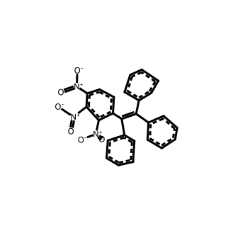 O=[N+]([O-])c1ccc(C(=C(c2ccccc2)c2ccccc2)c2ccccc2)c([N+](=O)[O-])c1[N+](=O)[O-]